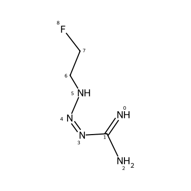 N=C(N)/N=N\NCCF